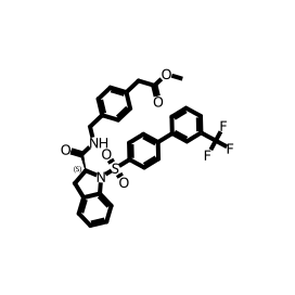 COC(=O)Cc1ccc(CNC(=O)[C@@H]2Cc3ccccc3N2S(=O)(=O)c2ccc(-c3cccc(C(F)(F)F)c3)cc2)cc1